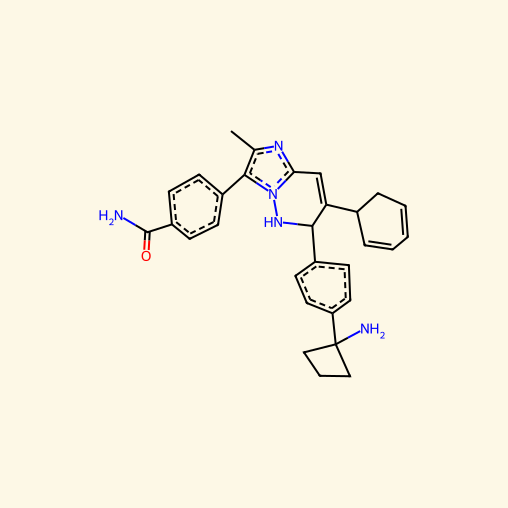 Cc1nc2n(c1-c1ccc(C(N)=O)cc1)NC(c1ccc(C3(N)CCC3)cc1)C(C1C=CC=CC1)=C2